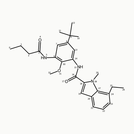 CCCC(=O)Nc1cc(C(C)(C)C)cc(NC(=O)c2cc3cccc(CC)c3n2C)c1OC